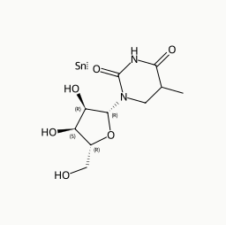 CC1CN([C@@H]2O[C@H](CO)[C@@H](O)[C@H]2O)C(=O)NC1=O.[Sn]